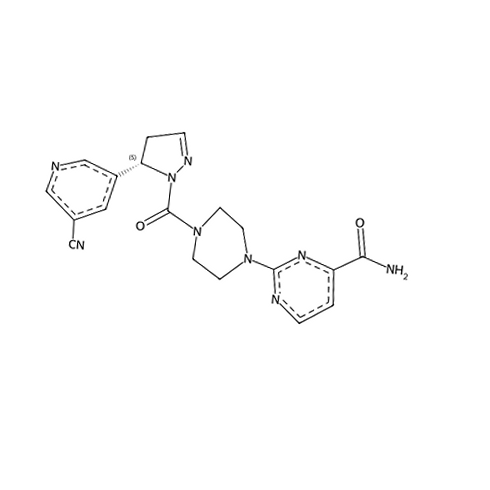 N#Cc1cncc([C@@H]2CC=NN2C(=O)N2CCN(c3nccc(C(N)=O)n3)CC2)c1